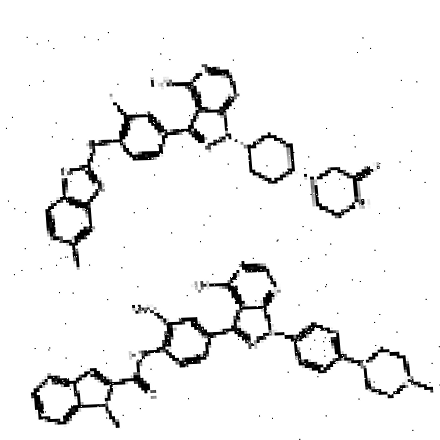 COc1cc(-c2nn(-c3ccc(N4CCN(C)CC4)nc3)c3ncnc(N)c23)ccc1NC(=O)c1cc2ccccc2n1C.Cc1ccc2oc(Nc3ccc(-c4nn([C@H]5CC[C@@H](N6CCNC(=O)C6)CC5)c5ncnc(N)c45)cc3F)nc2c1